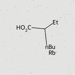 CCCCC(CC)C(=O)O.[Rb]